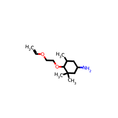 C=COCCOC1C(C)CC(N)CC1(C)C